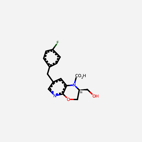 O=C(O)N1c2cc(Cc3ccc(F)cc3)cnc2OC[C@@H]1CO